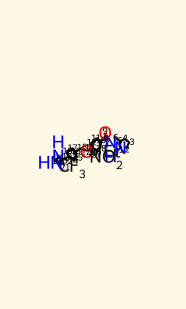 CCN1CCCC1CNC(=O)c1ccc(OCc2ccc(C3(C(F)(F)F)NN3)cc2)c([N+](=O)[O-])c1